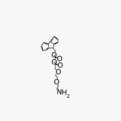 NCCOCCOCC(=O)OC(=O)OCC1c2ccccc2-c2ccccc21